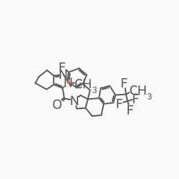 Cn1nc2c(c1C(=O)N1CC3CCc4cc(C(C)(F)C(F)(F)F)ccc4C3(Cc3ccc(F)cc3)C1)CCCC2